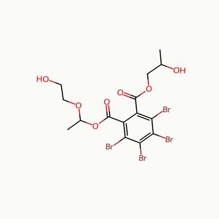 CC(O)COC(=O)c1c(Br)c(Br)c(Br)c(Br)c1C(=O)OC(C)OCCO